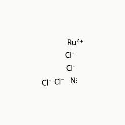 [Cl-].[Cl-].[Cl-].[Cl-].[N].[Ru+4]